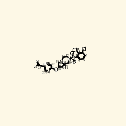 O=S(=O)(c1cccc(Cl)c1Cl)N1CCN2C[C@@H](Oc3cnc(C4CC4)cn3)C[C@H]2C1